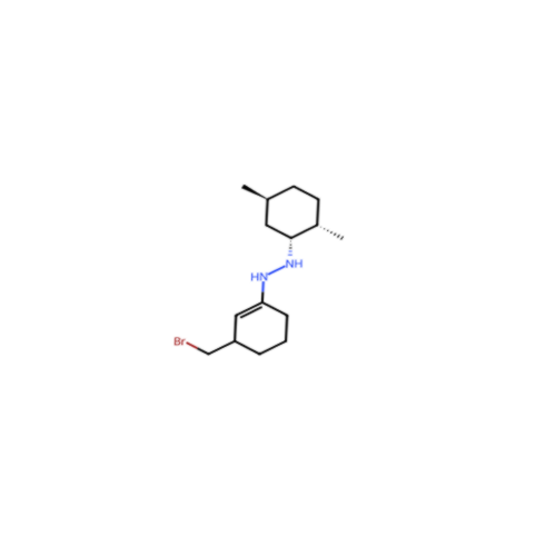 C[C@H]1CC[C@H](C)[C@H](NNC2=CC(CBr)CCC2)C1